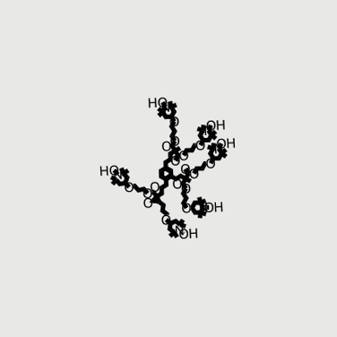 CC(CCCc1ccc(CCCC2(C(=O)OCCCOC3CC(C)(C)N(O)C(C)(C)C3)C(=O)C2CCCOC2CC(C)(C)N(O)C(C)(C)C2)c(CCC(C)(C(=O)OCCCOC2CC(C)(C)N(O)C(C)(C)C2)C(=O)OCCCOC2CC(C)(C)N(O)C(C)(C)C2)c1)(C(=O)OCCCOC1CC(C)(C)N(O)C(C)(C)C1)C(=O)OCCCOC1CC(C)(C)N(O)C(C)(C)C1